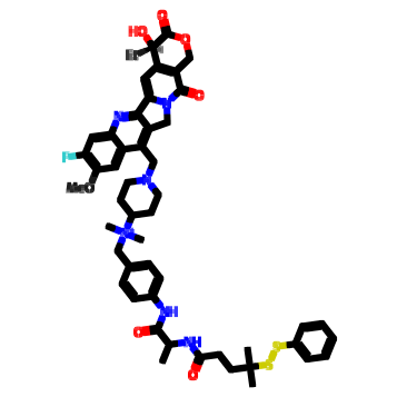 CC[C@@]1(O)C(=O)OCc2c1cc1n(c2=O)Cc2c-1nc1cc(F)c(OC)cc1c2CN1CCC([N+](C)(C)Cc2ccc(NC(=O)C(C)NC(=O)CCC(C)(C)SSc3ccccc3)cc2)CC1